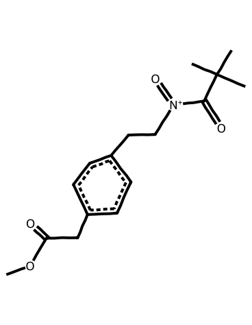 COC(=O)Cc1ccc(CC[N+](=O)C(=O)C(C)(C)C)cc1